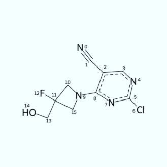 N#Cc1cnc(Cl)nc1N1CC(F)(CO)C1